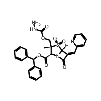 C[C@]1(COC(=O)NN)[C@H](C(=O)OC(c2ccccc2)c2ccccc2)N2C(=O)/C(=C/c3ccccn3)[C@H]2S1(=O)=O